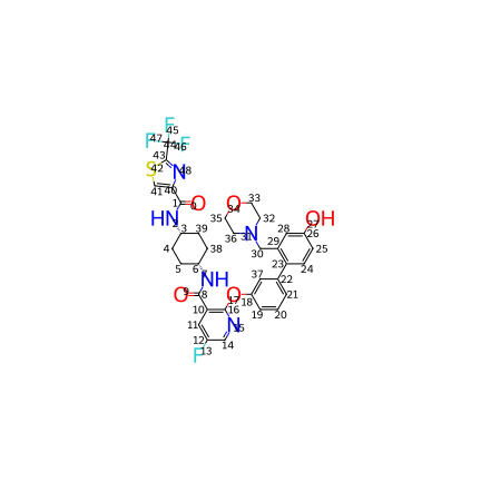 O=C(N[C@H]1CC[C@@H](NC(=O)c2cc(F)cnc2Oc2cccc(-c3ccc(O)cc3CN3CCOCC3)c2)CC1)c1csc(C(F)(F)F)n1